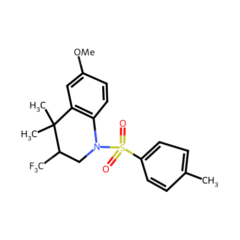 COc1ccc2c(c1)C(C)(C)C(C(F)(F)F)CN2S(=O)(=O)c1ccc(C)cc1